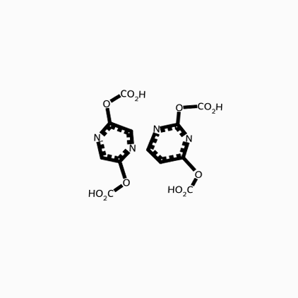 O=C(O)Oc1ccnc(OC(=O)O)n1.O=C(O)Oc1cnc(OC(=O)O)cn1